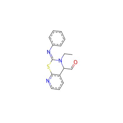 CCN1C(=Nc2ccccc2)Sc2ncccc2C1C=O